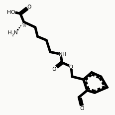 N[C@@H](CCCCNC(=O)OCc1ccccc1C=O)C(=O)O